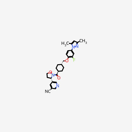 Cc1cc(C)n(-c2ccc(OC[C@H]3CC[C@H](C(=O)N4OCC[C@H]4c4cncc(C#N)c4)CC3)c(F)c2)n1